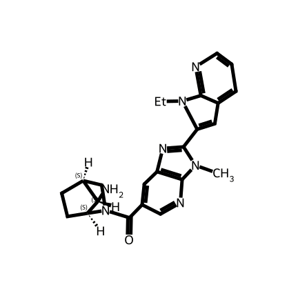 CCn1c(-c2nc3cc(C(=O)N4C[C@@H]5CC[C@H]4[C@H]5N)cnc3n2C)cc2cccnc21